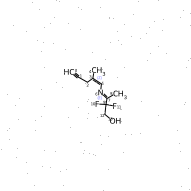 C#CC/C(C)=C\N=C(/C)C(F)(F)CO